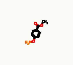 COC(=O)c1ccc(OP)cc1